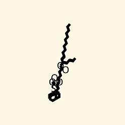 CC=CC=C(C=CCCCCCCCCCC)OC(=O)CCC(=O)OCCC1(SN=O)C2CC3CC(C2)CC1C3